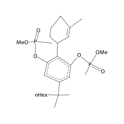 CCCCCCC(C)(C)c1cc(OP(C)(=O)OC)c(C2C=C(C)CCC2)c(OP(C)(=O)OC)c1